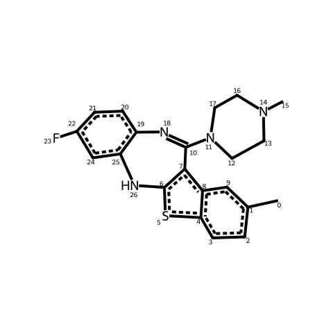 Cc1ccc2sc3c(c2c1)C(N1CCN(C)CC1)=Nc1ccc(F)cc1N3